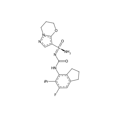 CC(C)c1c(F)cc2c(c1NC(=O)N=[S@@](N)(=O)c1cnn3c1OCCC3)CCC2